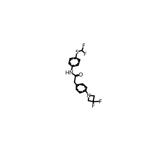 O=C(Cc1ccc(N2CC(F)(F)C2)cc1)Nc1ccc(SC(F)F)cc1